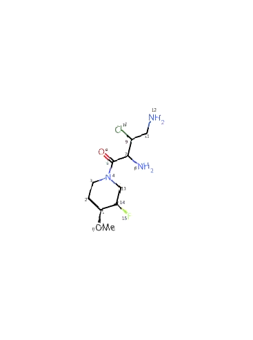 CO[C@H]1CCN(C(=O)C(N)C(Cl)CN)C[C@H]1F